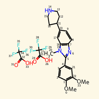 COc1ccc(-c2nc3ccc(C4CCNCC4)cc3n2C)cc1OC.O=C(O)C(F)(F)F.O=C(O)C(F)(F)F